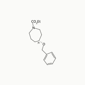 CCOC(=O)N1CCC[C@@H](OCc2ccccc2)CC1